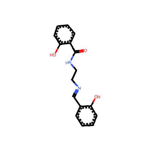 O=C(NCCN=Cc1ccccc1O)c1ccccc1O